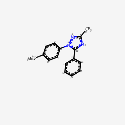 CSc1ccc(-n2nc(C(F)(F)F)nc2-c2ccccc2)cc1